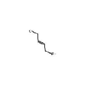 C[C](C)CC=CCCl